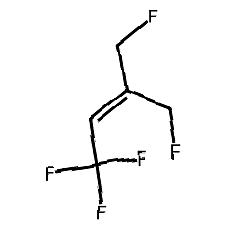 FCC(=CC(F)(F)F)CF